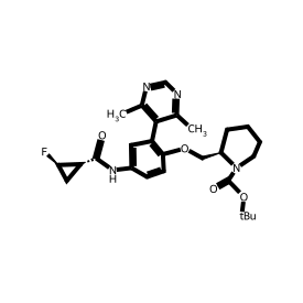 Cc1ncnc(C)c1-c1cc(NC(=O)[C@@H]2C[C@H]2F)ccc1OC[C@H]1CCCCN1C(=O)OC(C)(C)C